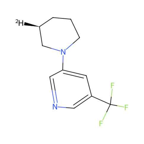 [2H][C@H]1CCCN(c2cncc(C(F)(F)F)c2)C1